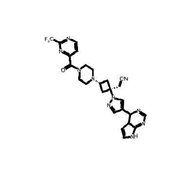 N#CC[C@]1(n2cc(C3N=CN=C4NC=CC43)cn2)C[C@H](N2CCN(C(=O)c3ccnc(C(F)(F)F)n3)CC2)C1